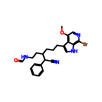 COc1cnc(Br)c2[nH]cc(CCCC(CCNC=O)C(C#N)c3ccccc3)c12